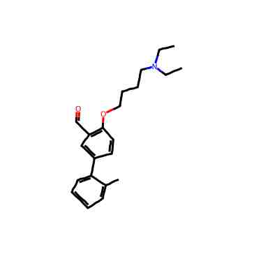 CCN(CC)CCCCOc1ccc(-c2ccccc2C)cc1C=O